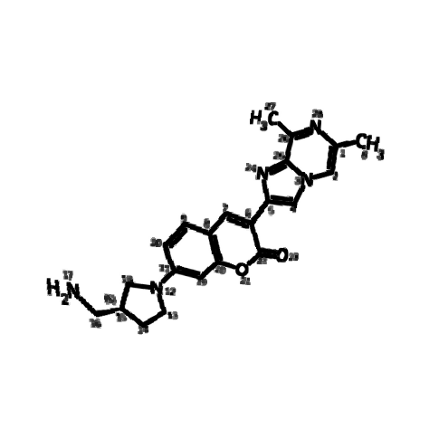 Cc1cn2cc(-c3cc4ccc(N5CC[C@@H](CN)C5)cc4oc3=O)nc2c(C)n1